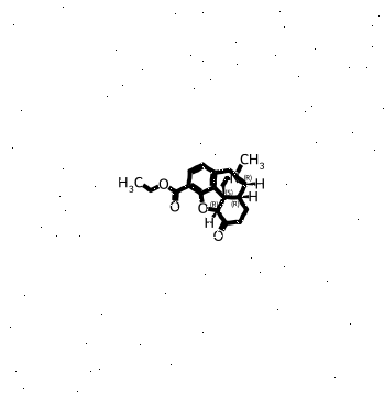 CCOC(=O)c1ccc2c3c1O[C@H]1C(=O)CC[C@H]4[C@@H](C2)N(C)CC[C@]314